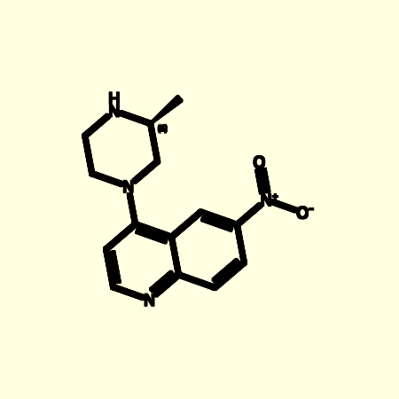 C[C@H]1CN(c2ccnc3ccc([N+](=O)[O-])cc23)CCN1